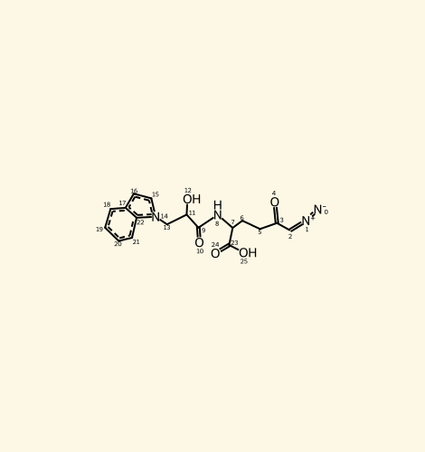 [N-]=[N+]=CC(=O)CCC(NC(=O)C(O)Cn1ccc2ccccc21)C(=O)O